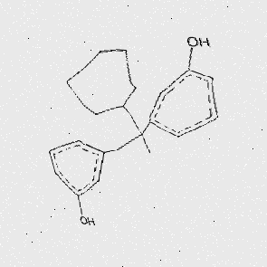 CC(c1cccc(O)c1)(c1cccc(O)c1)C1CCCCC1